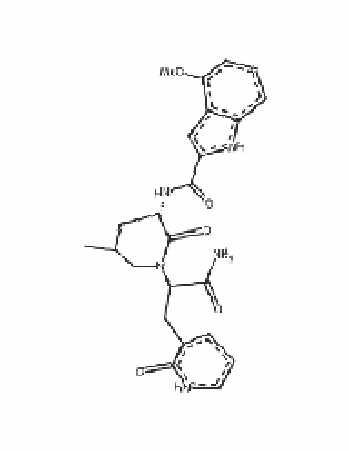 COc1cccc2[nH]c(C(=O)N[C@H]3CC(C)CN(C(Cc4ccc[nH]c4=O)C(N)=O)C3=O)cc12